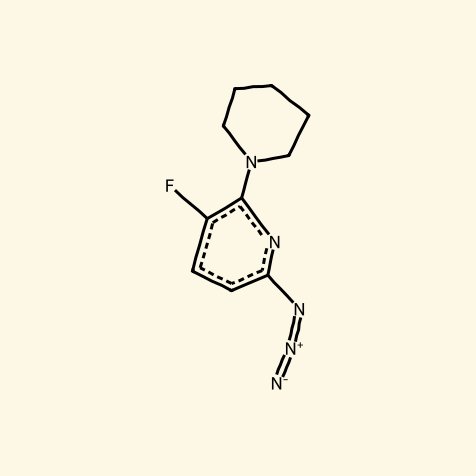 [N-]=[N+]=Nc1ccc(F)c(N2CCCCC2)n1